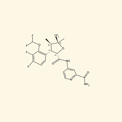 C[C@@H]1[C@@H](c2ccc(F)c(F)c2OC(F)F)[C@@H](C(=O)Nc2ccnc(C(N)=O)c2)O[C@]1(C)C(F)(F)F